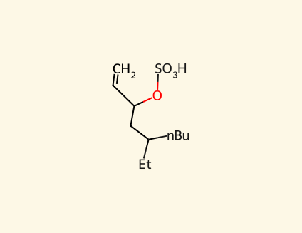 C=CC(CC(CC)CCCC)OS(=O)(=O)O